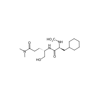 CN(C)C(=O)CC[C@@H](CO)NC(=O)[C@H](CC1CCCCC1)NC(=O)O